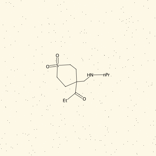 CCCNCC1(C(=O)CC)CCS(=O)(=O)CC1